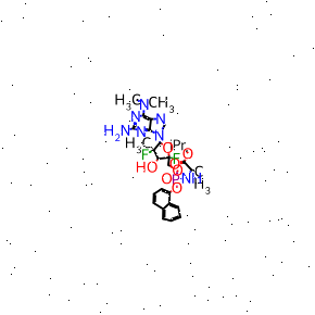 CC(C)OC(=O)[C@@H](C)N[P@](=O)(OC[C@@]1(F)O[C@@H](n2cnc3c(N(C)C)nc(N)nc32)[C@](C)(F)[C@@H]1O)Oc1cccc2ccccc12